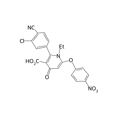 CCn1c(Oc2ccc([N+](=O)[O-])cc2)cc(=O)c(C(=O)O)c1-c1ccc(C#N)c(Cl)c1